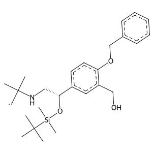 [CH2]C(C)(C)NC[C@@H](O[Si](C)(C)C(C)(C)C)c1ccc(OCc2ccccc2)c(CO)c1